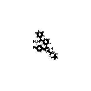 CC1(C)COC(c2nc(-c3ccc(F)cc3)c(-c3ccnc(C(N)c4ccncc4)c3)[nH]2)OC1